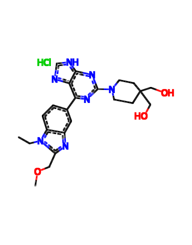 CCn1c(COC)nc2cc(-c3nc(N4CCC(CO)(CO)CC4)nc4[nH]cnc34)ccc21.Cl